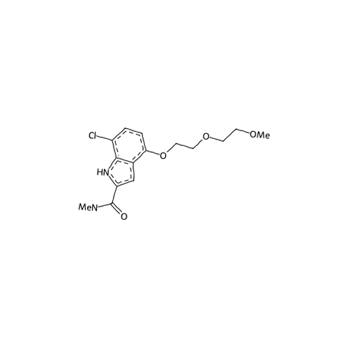 CNC(=O)c1cc2c(OCCOCCOC)ccc(Cl)c2[nH]1